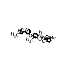 COC1(C(=O)NC(=O)Nc2ccc(Oc3ccnc(-c4cc(C)no4)c3)c(C)n2)CCCC1